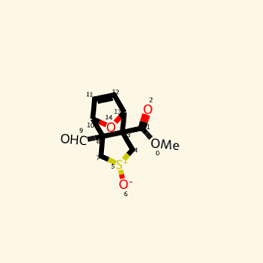 COC(=O)C12C[S+]([O-])CC1(C=O)C1C=CC2O1